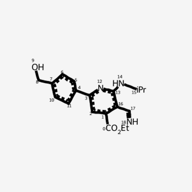 CCOC(=O)c1cc(-c2ccc(CO)cc2)nc(NC(C)C)c1C=N